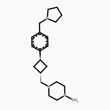 CN1CCN(C[C@H]2C[C@H](c3ccc(CN4CCCC4)cc3)C2)CC1